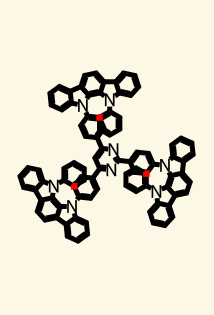 c1ccc(-n2c3ccccc3c3ccc4c5ccccc5n(-c5ccc(-c6cc(-c7ccc(-n8c9ccccc9c9ccc%10c%11ccccc%11n(-c%11ccccc%11)c%10c98)cc7)nc(-c7ccc(-n8c9ccccc9c9ccc%10c%11ccccc%11n(-c%11ccccc%11)c%10c98)cc7)n6)cc5)c4c32)cc1